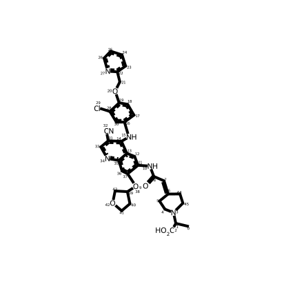 CC(C(=O)O)N1CCC(=CC(=O)Nc2cc3c(Nc4ccc(OCc5ccccn5)c(Cl)c4)c(C#N)cnc3cc2OC2CCOC2)CC1